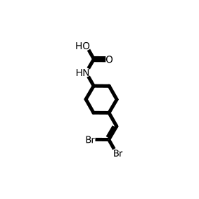 O=C(O)NC1CCC(C=C(Br)Br)CC1